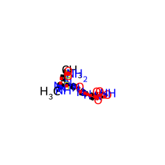 CCC(c1cccc(-c2nc(C3CCN(C(=O)CN4CCC5(CC4)CN(c4ccc6c(c4)C(=O)N(C4CCC(=O)NC4=O)C6=O)C5)CC3)sc2-c2ccnc(NC)n2)c1F)S(N)(=O)=O